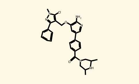 CC1CN(C(=O)c2ccc(-c3cnc(N)c(OCc4c(-c5ccccc5)nn(C)c4Cl)c3)cc2)CC(C)N1